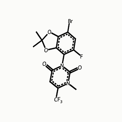 Cn1c(C(F)(F)F)cc(=O)n(-c2c(F)cc(Br)c3c2OC(C)(C)O3)c1=O